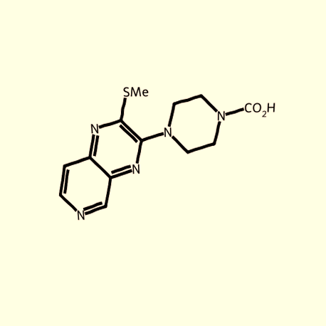 CSc1nc2ccncc2nc1N1CCN(C(=O)O)CC1